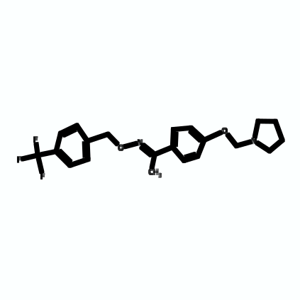 C/C(=N\OCc1ccc(C(F)(F)F)cc1)c1ccc(OCN2CCCC2)cc1